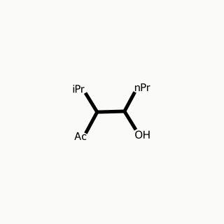 CCCC(O)C(C(C)=O)C(C)C